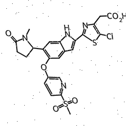 CN1C(=O)CCC1c1cc2[nH]c(-c3nc(CC(=O)O)c(Cl)s3)cc2cc1Oc1ccc(S(C)(=O)=O)nc1